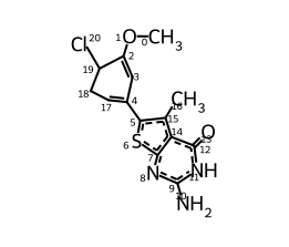 COC1=CC(c2sc3nc(N)[nH]c(=O)c3c2C)=CCC1Cl